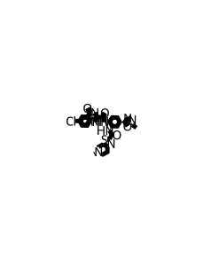 Cc1nnc([C@H]2CC[C@H](NC(=O)c3nc(=O)c4cc(Cl)ccc4[nH]3)[C@@H](NC(=O)c3nc4c(s3)CN(C)CC4)C2)o1